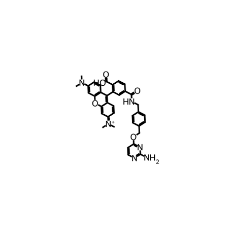 CN(C)c1ccc2c(-c3cc(C(=O)NCc4ccc(COc5ccnc(N)n5)cc4)ccc3C(=O)O)c3ccc(=[N+](C)C)cc-3oc2c1